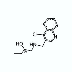 CC[C@@H](O)CNCc1cnc2ccccc2c1Cl